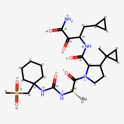 CC1(C2CCN(C(=O)[C@@H](NC(=O)NC3(CS(C)(=O)=O)CCCCC3)C(C)(C)C)C2C(=O)NC(CC2CC2)C(=O)C(N)=O)CC1